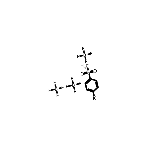 CS(=O)(=O)c1cc[c]([K])cc1.F[B-](F)(F)F.F[B-](F)(F)F.F[B-](F)(F)F